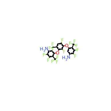 Nc1cc(Oc2c(F)cc(C(F)(F)F)c(Oc3cc(N)c(F)c(F)c3C(F)(F)F)c2F)c(C(F)(F)F)c(F)c1F